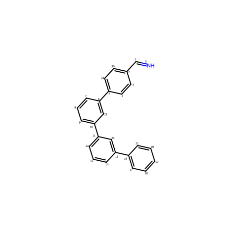 N=Cc1ccc(-c2cccc(-c3cccc(-c4ccccc4)c3)c2)cc1